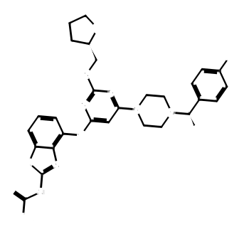 CC(=O)Nc1nc2c(Oc3cc(N4CCN([C@H](C)c5ccc(F)cc5)CC4)nc(NC[C@H]4CCCO4)n3)cccc2s1